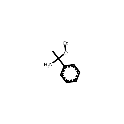 CCOC(C)(N)c1ccccc1